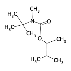 CC(C)C(C)OC(=O)N(C)C(C)(C)C